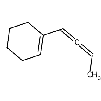 CC=C=CC1=CCCCC1